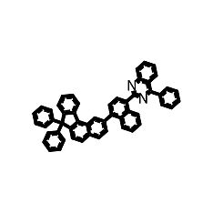 c1ccc(-c2nc(-c3ccc(-c4ccc5ccc6c(c5c4)-c4ccccc4C6(c4ccccc4)c4ccccc4)c4ccccc34)nc3ccccc23)cc1